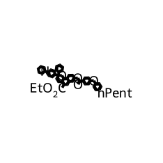 CCCCCc1ccc(Oc2ccc(C(=O)Oc3ccc4c5c(c(C(=O)OCC)cc4c3)C=CC(c3ccccc3)(c3ccc(N4CCCCC4)cc3)O5)cc2)cc1